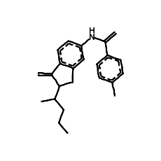 C=C(Nc1ccc2c(c1)CC(C(C)CCC)C2=C)c1ccc(C)cc1